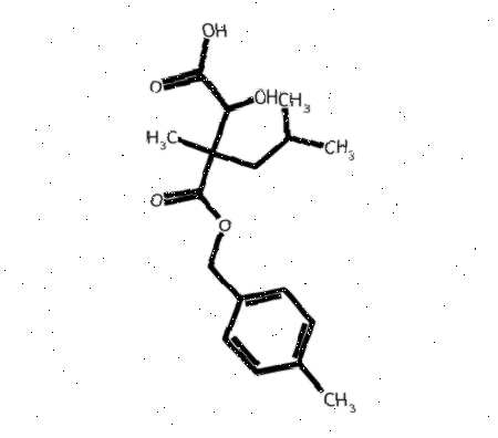 Cc1ccc(COC(=O)C(C)(CC(C)C)C(O)C(=O)O)cc1